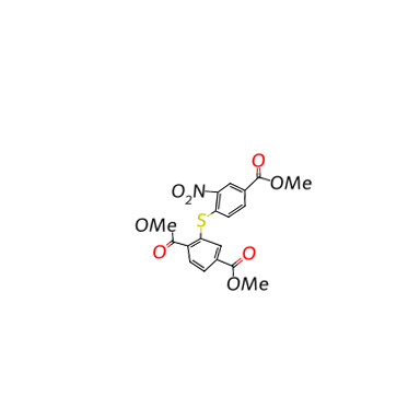 COC(=O)c1ccc(C(=O)OC)c(Sc2ccc(C(=O)OC)cc2[N+](=O)[O-])c1